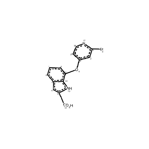 CCc1cc(Oc2cccc3cc(C(=O)O)[nH]c23)ccn1